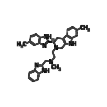 Cc1ccc2[nH]c([C@H]3Cc4c([nH]c5cc(C)ccc45)CN3CCN(C)Cc3nc4ccccc4[nH]3)nc2c1